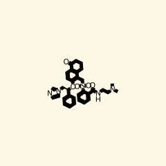 CN(C)CCNC(=O)c1ccccc1S(=O)(=O)Cc1c(O[C@H](Cn2ccnc2)c2ccccc2)ccc2c1CCCC2=O